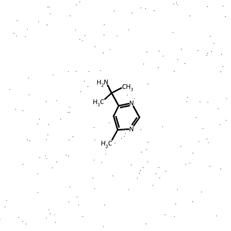 Cc1cc(C(C)(C)N)ncn1